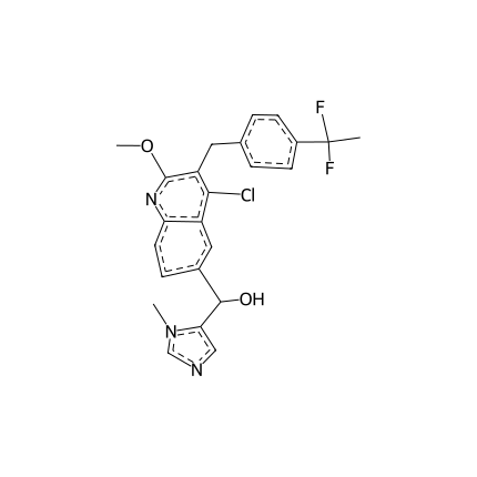 COc1nc2ccc(C(O)c3cncn3C)cc2c(Cl)c1Cc1ccc(C(C)(F)F)cc1